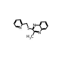 Cc1nc2ccccc2nc1SCc1ccccn1